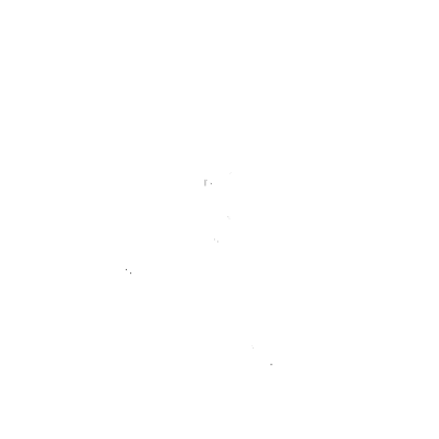 NCCCC[C@H](NC(=O)OCC1c2ccccc2-c2ccccc21)C(=O)NCCCCCC(=O)O